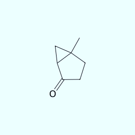 CC12CCC(=O)C1C2